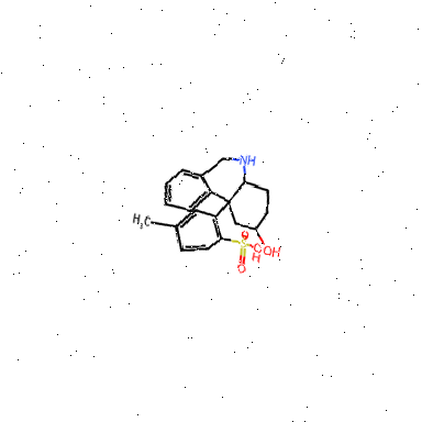 Cc1ccc(S(=O)(=O)O)c(C23CC(O)CCC2NCc2ccccc23)c1